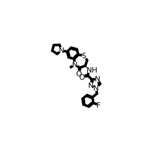 CN1C(=O)[C@@H](NC(=O)c2ncn(Cc3ccccc3F)n2)CSc2ccc(N3CCCC3)cc21